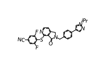 CC(C)n1cc(-c2ccc(CN3Cc4ccnc(Sc5c(F)cc(C#N)cc5F)c4C3=O)cc2)cn1